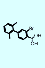 Cc1cccc(C)c1-c1ccc(B(O)O)c(Br)c1